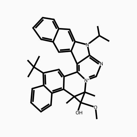 COC1(O)C2(C)c3c(cc(C(C)(C)C)c4ccccc34)-c3c4c5cc6ccccc6cc5n(C(C)C)c4nc[n+]3C12C